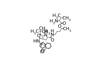 CC(C)C(N)C(=O)O[C@@H](C)CCCNC(=O)[C@@H]1N[C@H](CC(C)(C)C)[C@]2(C(=O)Nc3cc(Cl)ccc32)[C@H]1c1cccc(Cl)c1F